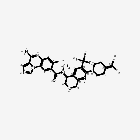 CN(C(=O)c1cc2c(cc1F)nc(N)c1cncn12)C1COCc2nc(N3CCC(=C(F)F)CC3)c(C(F)(F)F)cc21